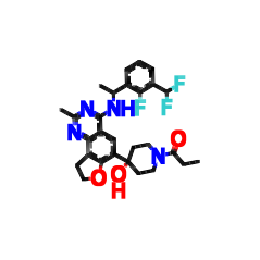 CCC(=O)N1CCC(O)(c2cc3c(NC(C)c4cccc(C(F)F)c4F)nc(C)nc3c3c2OCC3)CC1